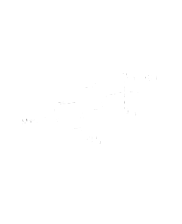 COc1cc(C)c2cc(C(C)(C)CC(C)(C)C)ccc2c1